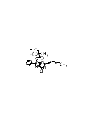 CCCCC#Cc1nc(Cl)c2nc(-c3cncs3)n(OC(=O)C(C)(C)CC)c2n1